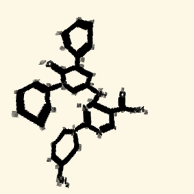 NC(=O)c1cnc(N2CCCC(N)C2)nc1Nc1cc(-c2ccccc2)c(=O)n(-c2ccccc2)c1